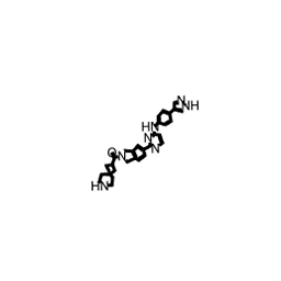 O=C(C1CC2(CCNCC2)C1)N1Cc2ccc(-c3nccc(Nc4ccc(-c5cn[nH]c5)cc4)n3)cc2C1